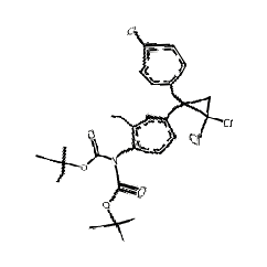 Cc1cc(C2(c3ccc(Cl)cc3)CC2(Cl)Cl)ccc1N(C(=O)OC(C)(C)C)C(=O)OC(C)(C)C